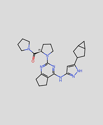 O=C([C@H]1CCCN1c1nc2c(c(Nc3cc(C4CC5CC5C4)[nH]n3)n1)CCC2)N1CCCC1